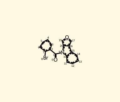 O=C(c1ccccc1Br)n1c2ccccc2c2cocc21